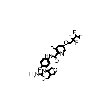 NC1=N[C@@]2(c3cc(NC(=O)c4ncc(OCC(F)(F)C(F)F)cc4F)ccc3F)COCC2CO1